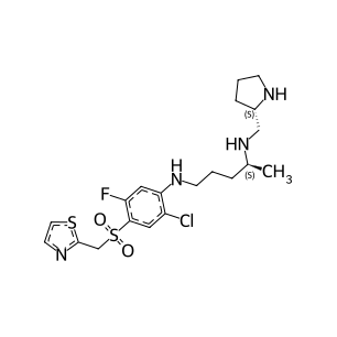 C[C@@H](CCCNc1cc(F)c(S(=O)(=O)Cc2nccs2)cc1Cl)NC[C@@H]1CCCN1